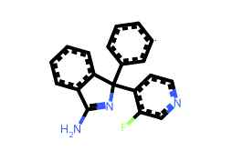 NC1=NC(c2c[c]ccc2)(c2ccncc2F)c2ccccc21